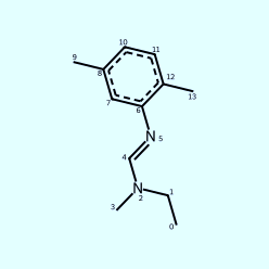 CCN(C)C=Nc1cc(C)ccc1C